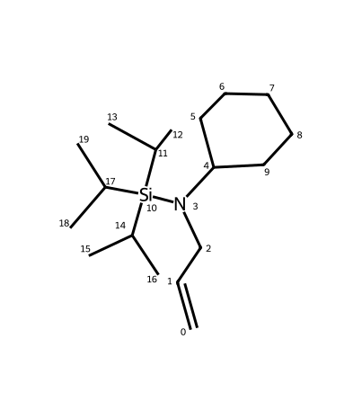 C=CCN(C1CCCCC1)[Si](C(C)C)(C(C)C)C(C)C